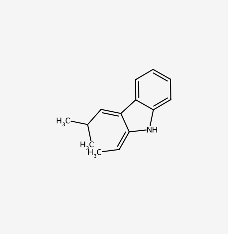 C/C=c1/[nH]c2ccccc2/c1=C/C(C)C